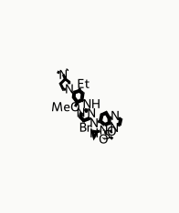 CCc1cc(Nc2ncc(Br)c(Nc3ccc4nccnc4c3N(C3CC3)S(C)(=O)=O)n2)c(OC)cc1N1CCC(N(C)C)C1